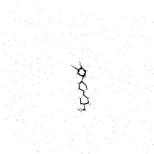 C=C[C@H]1CC[C@H]([C@H]2CC[C@H](c3ccc(F)c(F)c3)CC2)CC1